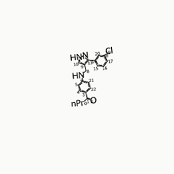 CCCC(=O)c1ccc(NCc2c[nH]nc2-c2cccc(Cl)c2)cc1